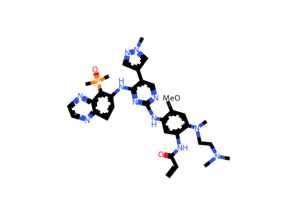 C=CC(=O)Nc1cc(Nc2ncc(-c3cnn(C)c3)c(Nc3ccc4nccnc4c3P(C)(C)=O)n2)c(OC)cc1N(C)CCN(C)C